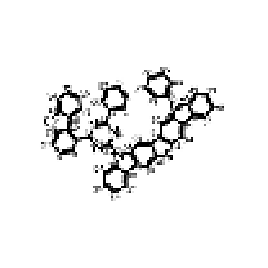 c1ccc(-c2nc(-c3cccc4oc5ccccc5c34)nc(-n3c4ccccc4c4cc5sc6cc7c8ccccc8n(-c8ccccc8)c7cc6c5cc43)n2)cc1